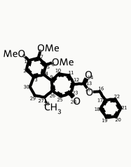 COc1cc2c(c(OC)c1OC)-c1ccc(C(=O)OCc3ccccc3)c(=O)cc1[C@@H](C)CC2